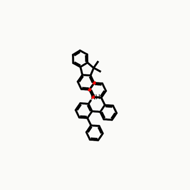 CC1(C)c2ccccc2-c2ccc(Nc3cccc(-c4ccccc4)c3-c3ccccc3-c3ccccc3)cc21